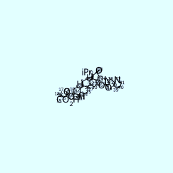 CC(C)C1=C2[C@H]3CC[C@@H]4[C@@]5(C)CC[C@H](OC(=O)CC(C)(C)C(=O)O)C(C)(C)[C@H]5CC[C@@]4(C)[C@]3(C)CC[C@@]2([C@@H]2CN(Cc3ccccn3)C(=O)O2)CC1=O